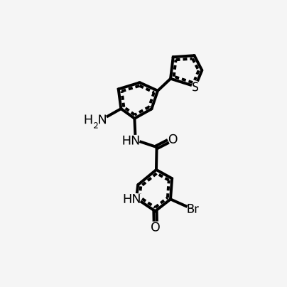 Nc1ccc(-c2cccs2)cc1NC(=O)c1c[nH]c(=O)c(Br)c1